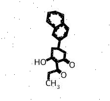 CCC(=O)C1=C(O)CC(c2ccc3ccccc3c2)CC1=O